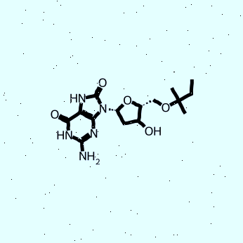 CCC(C)(C)OC[C@H]1O[C@@H](n2c(=O)[nH]c3c(=O)[nH]c(N)nc32)CC1O